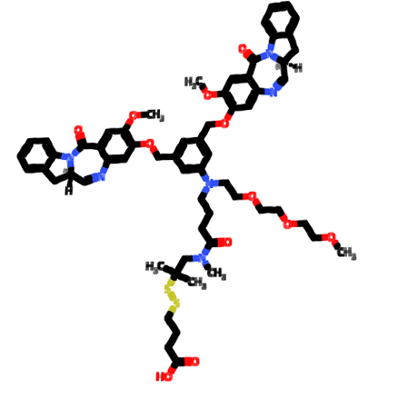 COCCOCCOCCN(CCCC(=O)N(C)CC(C)(C)SSCCCC(=O)O)c1cc(COc2cc3c(cc2OC)C(=O)N2c4ccccc4C[C@H]2C=N3)cc(COc2cc3c(cc2OC)C(=O)N2c4ccccc4C[C@H]2C=N3)c1